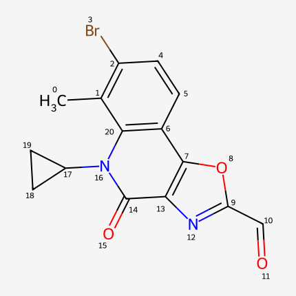 Cc1c(Br)ccc2c3oc(C=O)nc3c(=O)n(C3CC3)c12